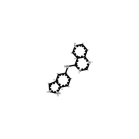 c1cc2ncnc(Nc3ccc4[nH]ncc4c3)c2cn1